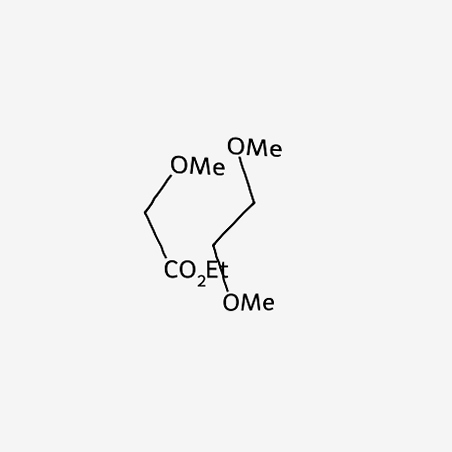 CCOC(=O)COC.COCCOC